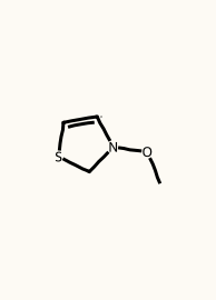 CON1[C]=CSC1